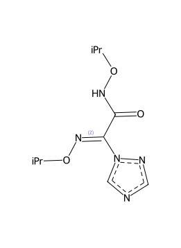 CC(C)O/N=C(/C(=O)NOC(C)C)n1cncn1